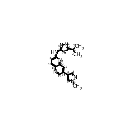 CC(C)c1nnc(Nc2ccc3ncc(-c4cnn(C)c4)cc3n2)s1